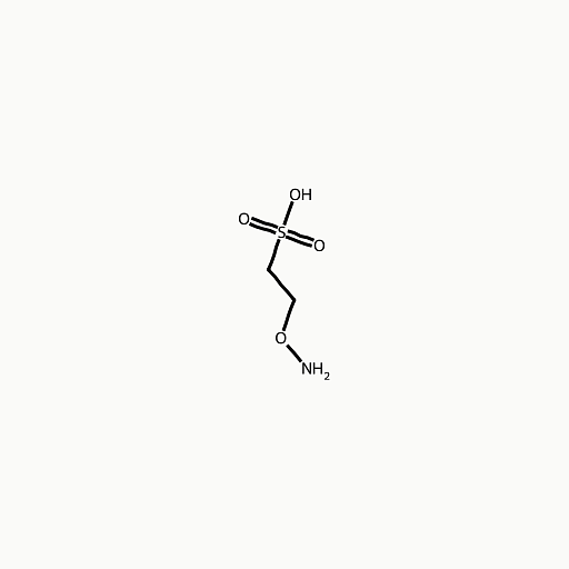 NOCCS(=O)(=O)O